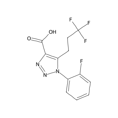 O=C(O)c1nnn(-c2ccccc2F)c1CCC(F)(F)F